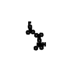 Fc1ccc(-n2c3ccccc3c3cc(-c4ccc5c(c4)c4ccccc4n5-c4ccc(C5N=C(c6ccccc6)c6ccccc6N5)cc4)ccc32)cc1